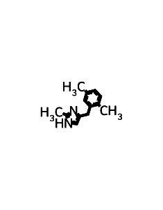 Cc1ccc(C)c(Cc2c[nH]c(C)n2)c1